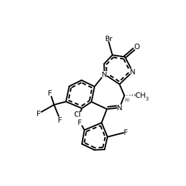 C[C@@H]1N=C(c2c(F)cccc2F)c2c(ccc(C(F)(F)F)c2Cl)-n2cc(Br)c(=O)nc21